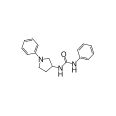 O=C(Nc1ccccc1)NC1CCN(c2ccccc2)C1